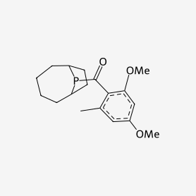 COc1cc(C)c(C(=O)P2C3CCCCC2CC3)c(OC)c1